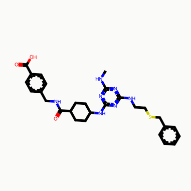 CNc1nc(NCCSCc2ccccc2)nc(NC2CCC(C(=O)NCc3ccc(C(=O)O)cc3)CC2)n1